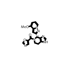 COc1cccn2nc([C@@H]3c4nc[nH]c4CCN3C(=O)c3cnco3)cc12